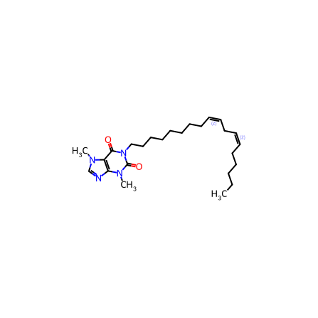 CCCCC/C=C\C/C=C\CCCCCCCCn1c(=O)c2c(ncn2C)n(C)c1=O